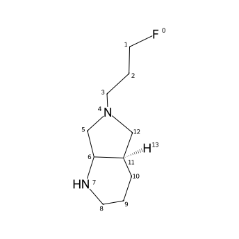 FCCCN1CC2NCCC[C@@H]2C1